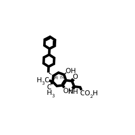 CC1(C)CC(O)=C(C(=O)C(=N)CC(=O)O)[C@@H](O)C[C@H]1CC1CCC(C2C=CC=CC2)CC1